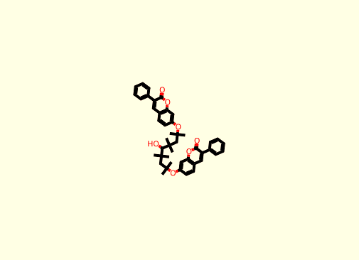 CC(C)(CC(C)(C)C(O)C(C)(C)CC(C)(C)Oc1ccc2cc(-c3ccccc3)c(=O)oc2c1)Oc1ccc2cc(-c3ccccc3)c(=O)oc2c1